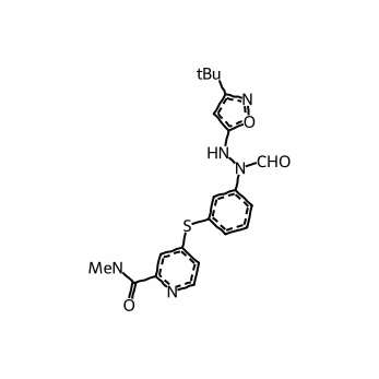 CNC(=O)c1cc(Sc2cccc(N(C=O)Nc3cc(C(C)(C)C)no3)c2)ccn1